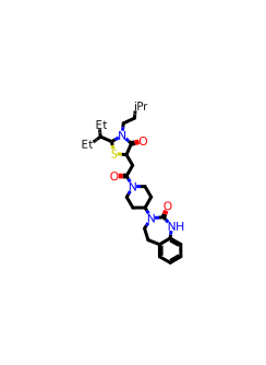 CCC(CC)C1SC(CC(=O)N2CCC(N3CCc4ccccc4NC3=O)CC2)C(=O)N1CCC(C)C